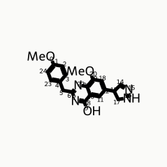 COc1ccc(Cc2nc(O)c3cc(C4C=NNC4)cc(OC)c3n2)cc1